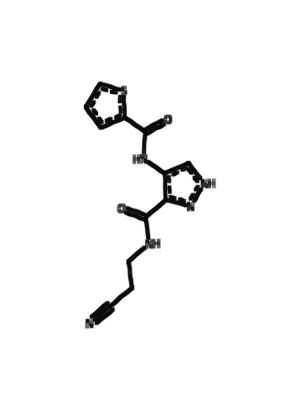 N#CCCNC(=O)c1n[nH]cc1NC(=O)c1cccs1